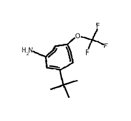 CC(C)(C)c1cc(N)cc(OC(F)(F)F)c1